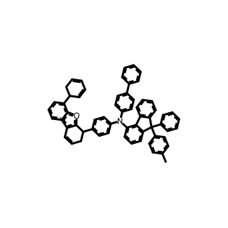 Cc1ccc(C2(c3ccccc3)c3ccccc3-c3c(N(c4ccc(-c5ccccc5)cc4)c4ccc(C5CC=Cc6c5oc5c(C7C=CC=CC7)cccc65)cc4)cccc32)cc1